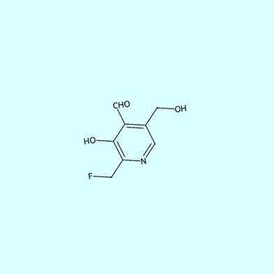 O=Cc1c(CO)cnc(CF)c1O